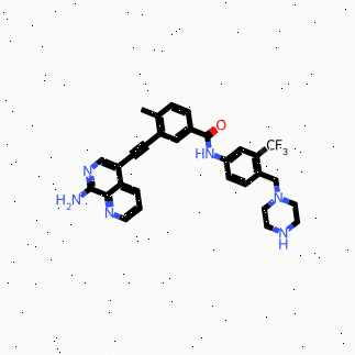 Cc1ccc(C(=O)Nc2ccc(CN3CCNCC3)c(C(F)(F)F)c2)cc1C#Cc1cnc(N)c2ncccc12